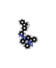 CC1(C)c2ccccc2-c2cc(-c3ccnc(-n4c5ccccc5c5c4ccc4c6ccccc6c6nc7ccccc7n6c45)c3)ccc21